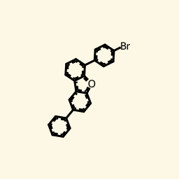 Brc1ccc(-c2cccc3c2oc2ccc(-c4ccccc4)cc23)cc1